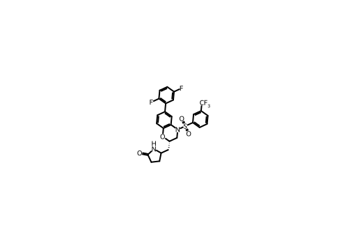 O=C1CCC(C[C@H]2CN(S(=O)(=O)c3cccc(C(F)(F)F)c3)c3cc(-c4cc(F)ccc4F)ccc3O2)N1